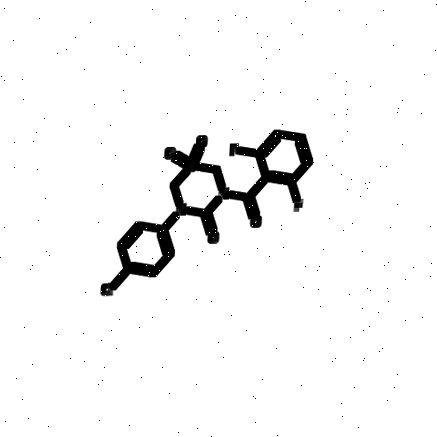 O=C(c1c(F)cccc1F)N1CS(=O)(=O)CN(c2ccc(Cl)cc2)C1=O